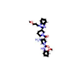 COCCCn1c([C@@H]2CCCN(C(=O)[C@@H]3CN(C(=O)Nc4ccccc4OC)C[C@H]3N)C2)nc2ccccc21